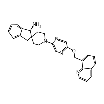 N[C@@H]1c2ccccc2CC12CCN(c1cnc(OCc3cccc4cccnc34)cn1)CC2